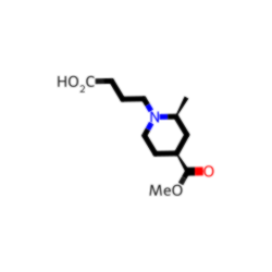 COC(=O)[C@H]1CCN(CCCC(=O)O)[C@@H](C)C1